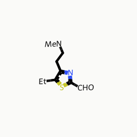 CCc1sc(C=O)nc1CCNC